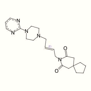 O=C1CC2(CCCC2)CC(=O)N1C/C=C/CN1CCN(c2ncccn2)CC1